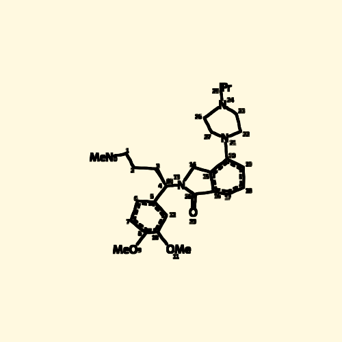 CNCCC[C@H](c1ccc(OC)c(OC)c1)N1Cc2c(cccc2N2CCN(C(C)C)CC2)C1=O